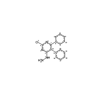 NNc1nc(Cl)nc(-c2ccccc2)c1-c1ccccc1